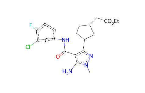 CCOC(=O)CC1CCC(c2nn(C)c(N)c2C(=O)Nc2ccc(F)c(Cl)c2)C1